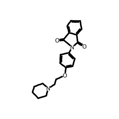 O=C1c2ccccc2C(=O)N1c1ccc(OCCN2CCCCC2)cc1